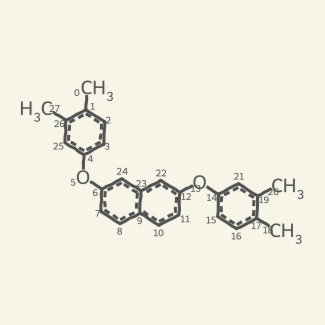 Cc1ccc(Oc2ccc3ccc(Oc4ccc(C)c(C)c4)cc3c2)cc1C